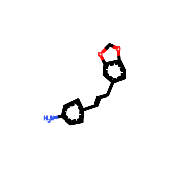 Nc1ccc(/C=C/Cc2ccc3c(c2)OCO3)cc1